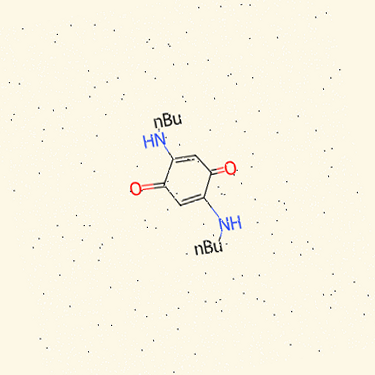 CCCCNC1=CC(=O)C(NCCCC)=CC1=O